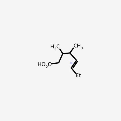 CC/C=C/C(C)C(C)CC(=O)O